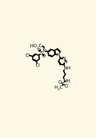 CS(=O)(=O)NCCCNc1ccc(-n2ccc3cc(N(CC(=O)O)S(=O)(=O)C4C=C(Cl)C=C(Cl)C4)ccc32)nn1